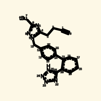 C#CCCc1nc(C(C)(C)C)nn1Cc1ccc(-c2ccccc2-c2nnn[nH]2)cc1